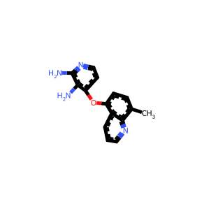 Cc1ccc(Oc2ccnc(N)c2N)c2cccnc12